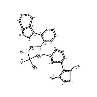 Cc1noc(C)c1-c1cccc(C[C@H](N[S+]([O-])C(C)(C)C)c2ccccc2-c2noc3ccccc23)n1